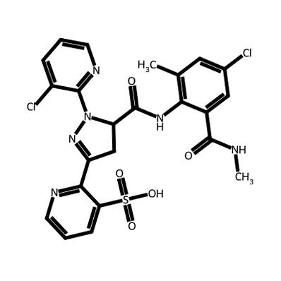 CNC(=O)c1cc(Cl)cc(C)c1NC(=O)C1CC(c2ncccc2S(=O)(=O)O)=NN1c1ncccc1Cl